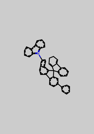 C1=C2C(=CCC1)C1(c3ccccc32)c2cc(-c3ccccc3)ccc2-c2ccc3cc(-n4c5ccccc5c5ccccc54)ccc3c21